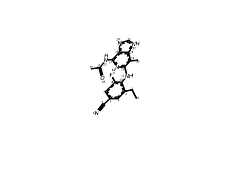 CCc1cc(C#N)cc(F)c1Nc1nc(NC(C)=O)c2nc[nH]c2c1C